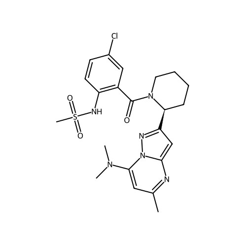 Cc1cc(N(C)C)n2nc([C@@H]3CCCCN3C(=O)c3cc(Cl)ccc3NS(C)(=O)=O)cc2n1